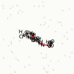 CC1(C)CCC(CN2CCN(c3ccc(C(=O)NS(=O)(=O)c4ccc(NCC5CCN(C6CCN(CCCCC#Cc7cccc8c7C(=O)N(C7CCC(=O)NC7=O)C8=O)CC6)CC5)c([N+](=O)[O-])c4)c(Oc4cnc5[nH]ccc5c4)c3)CC2)=C(c2ccc(Cl)cc2)C1